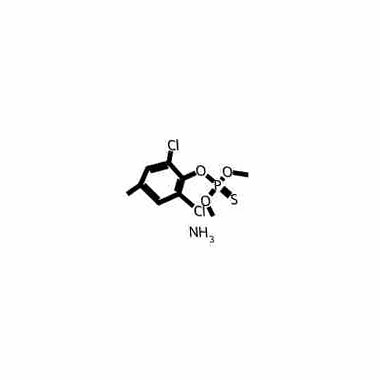 COP(=S)(OC)Oc1c(Cl)cc(C)cc1Cl.N